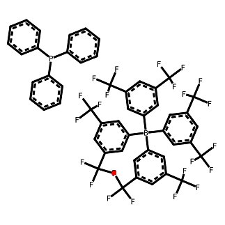 FC(F)(F)c1cc([B-](c2cc(C(F)(F)F)cc(C(F)(F)F)c2)(c2cc(C(F)(F)F)cc(C(F)(F)F)c2)c2cc(C(F)(F)F)cc(C(F)(F)F)c2)cc(C(F)(F)F)c1.c1ccc(P(c2ccccc2)c2ccccc2)cc1